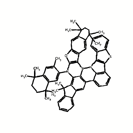 Cc1cc2c(cc1N1c3oc4cc5c(cc4c3B3c4c(cc6c(c41)C(C)(C)c1ccccc1-6)-c1cccc4c6sc7ccccc7c6n3c14)C(C)(C)CCC5(C)C)C(C)(C)CCC2(C)C